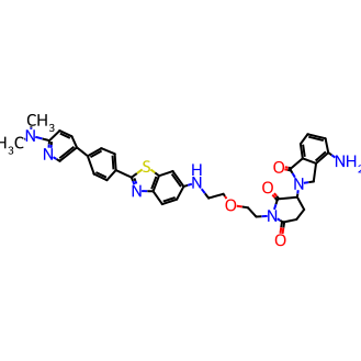 CN(C)c1ccc(-c2ccc(-c3nc4ccc(NCCOCCN5C(=O)CCC(N6Cc7c(N)cccc7C6=O)C5=O)cc4s3)cc2)cn1